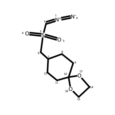 [N-]=[N+]=CS(=O)(=O)CC1CCC2(CC1)OCCO2